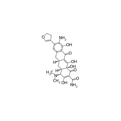 CN(C)[C@@H]1C(O)=C(C(N)=O)C(=O)[C@@]2(O)C(O)=C3C(=O)c4c(cc(C5=COCC5)c(N)c4O)C[C@H]3C[C@@H]12